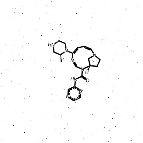 C[C@H]1CNCCN1C1=CC=CN2CC[C@@H](C2)N(C(=O)Nc2cnccn2)C=N1